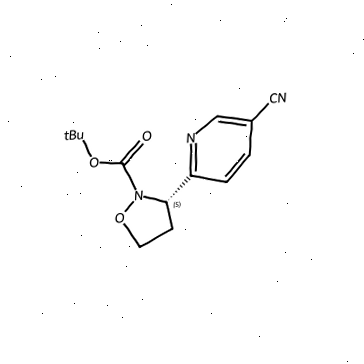 CC(C)(C)OC(=O)N1OCC[C@H]1c1ccc(C#N)cn1